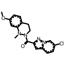 COc1ccc2c(c1)N(C)N(C(=O)c1cc3ccc(Cl)cn3n1)CC2